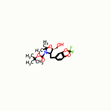 CC(C)(C)OC(=O)N1C(Cc2ccc3c(c2)OC(F)(F)O3)[C@@H](CO)OC1(C)C